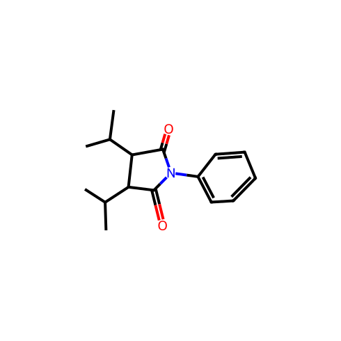 CC(C)C1C(=O)N(c2ccccc2)C(=O)C1C(C)C